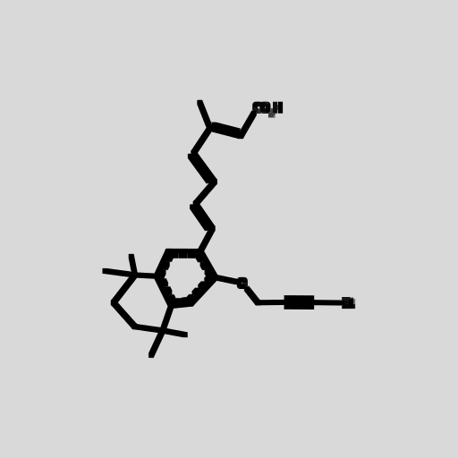 CCC#CCOc1cc2c(cc1C=CC=CC(C)=CC(=O)O)C(C)(C)CCC2(C)C